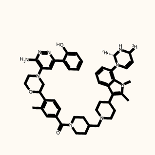 [2H]C1C=CN(c2cccc3c(C4CCN(CC5CCN(C(=O)c6ccc(C7CN(c8cc(-c9ccccc9O)nnc8N)CCO7)c(C)c6)CC5)CC4)c(C)n(C)c23)[C@H]([2H])N1